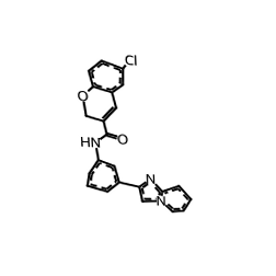 O=C(Nc1cccc(-c2cn3ccccc3n2)c1)C1=Cc2cc(Cl)ccc2OC1